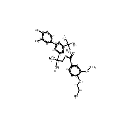 COc1cc(C(=O)NCC(C)(O)c2cc(C(C)(C)C)cc(-c3ccc(F)c(Cl)c3)n2)ccc1OCCO